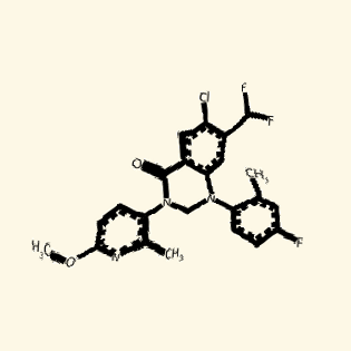 COc1ccc(N2CN(c3ccc(F)cc3C)c3cc(C(F)F)c(Cl)cc3C2=O)c(C)n1